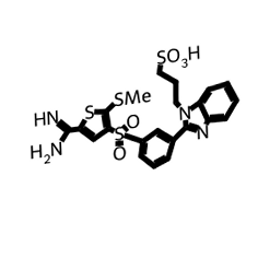 CSc1sc(C(=N)N)cc1S(=O)(=O)c1cccc(-c2nc3ccccc3n2CCCS(=O)(=O)O)c1